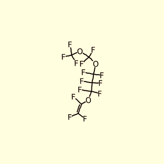 FC(F)=C(F)OC(F)(F)C(F)(F)C(F)(F)OC(F)(F)OC(F)(F)F